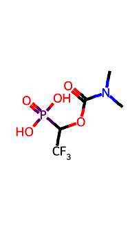 CN(C)C(=O)OC(C(F)(F)F)P(=O)(O)O